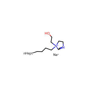 CCCCCCCCCCC[N+]1(CCO)C=NCC1.[Na+]